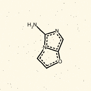 Nc1ncc2occn12